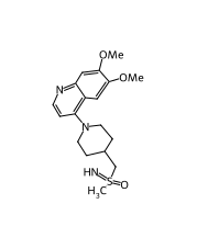 COc1cc2nccc(N3CCC(CS(C)(=N)=O)CC3)c2cc1OC